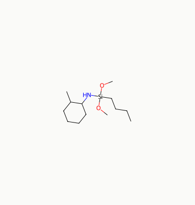 CCCC[Si](NC1CCCCC1C)(OC)OC